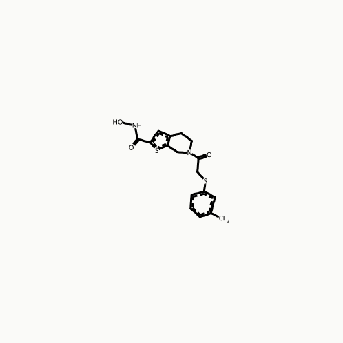 O=C(NO)c1cc2c(s1)CN(C(=O)CSc1cccc(C(F)(F)F)c1)CC2